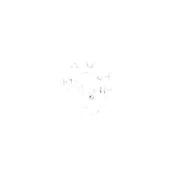 COc1c(O)c(C)c(C(N)[PH](c2ccccc2)(c2ccccc2)c2ccccc2)c(O)c1OC